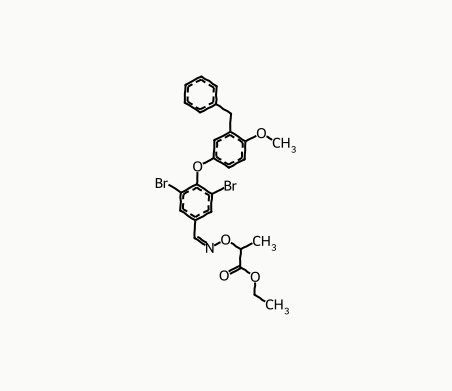 CCOC(=O)C(C)O/N=C\c1cc(Br)c(Oc2ccc(OC)c(Cc3ccccc3)c2)c(Br)c1